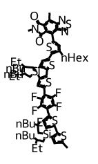 CCCCCCc1cc(-c2c3c(c(C)c4nsnc24)C(=O)N(C)C3=O)sc1-c1cc2c(s1)-c1sc(-c3c(F)c(F)c(-c4cc5c(s4)-c4sc(C)cc4[Si]5(CC(CC)CCCC)CC(CC)CCCC)c(F)c3F)cc1[Si]2(CC(CC)CCCC)CC(CC)CCCC